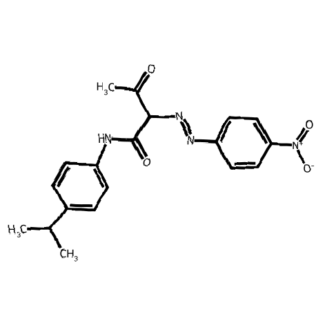 CC(=O)C(N=Nc1ccc([N+](=O)[O-])cc1)C(=O)Nc1ccc(C(C)C)cc1